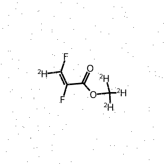 [2H]C(F)=C(F)C(=O)OC([2H])([2H])[2H]